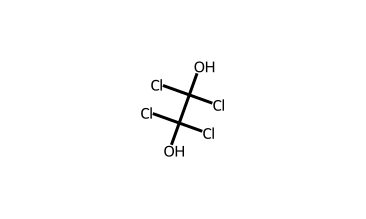 OC(Cl)(Cl)C(O)(Cl)Cl